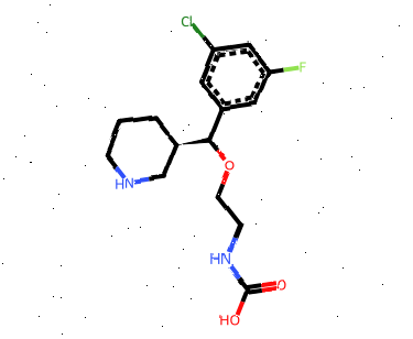 O=C(O)NCCOC(c1cc(F)cc(Cl)c1)[C@@H]1CCCNC1